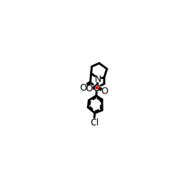 O=C1OCC2CCCC1N2S(=O)(=O)c1ccc(Cl)cc1